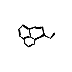 C=Cc1ccc2cccc3c2c1C=CC3